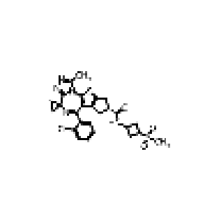 Cc1nnc2n1-c1sc3c(c1C(c1ccccc1Cl)=NC21CC1)C[C@H](C(=O)NC1CC(S(C)(=O)=O)C1)C3